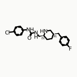 O=C(NC[C@@H]1CC[C@H](Cc2ccc(F)cc2)CN1)Nc1ccc(Cl)cc1